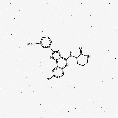 COc1cccc(-c2nc3c4cc(F)ccc4nc(NC4CCCNC4=O)n3n2)c1